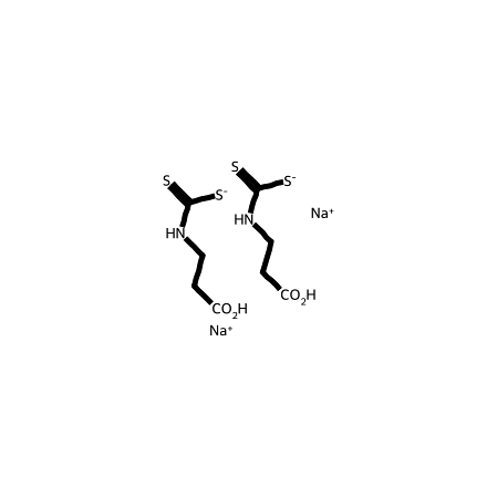 O=C(O)CCNC(=S)[S-].O=C(O)CCNC(=S)[S-].[Na+].[Na+]